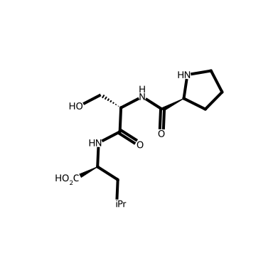 CC(C)C[C@H](NC(=O)[C@H](CO)NC(=O)[C@@H]1CCCN1)C(=O)O